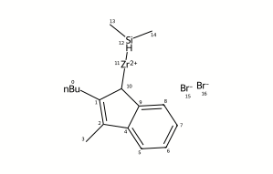 CCCCC1=C(C)c2ccccc2[CH]1[Zr+2][SiH](C)C.[Br-].[Br-]